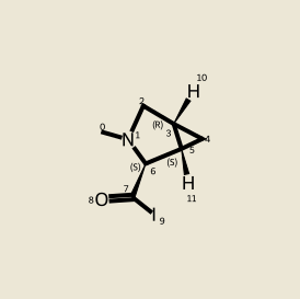 CN1C[C@@H]2C[C@@H]2[C@H]1C(=O)I